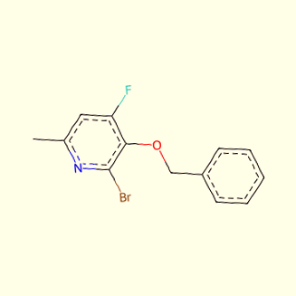 Cc1cc(F)c(OCc2ccccc2)c(Br)n1